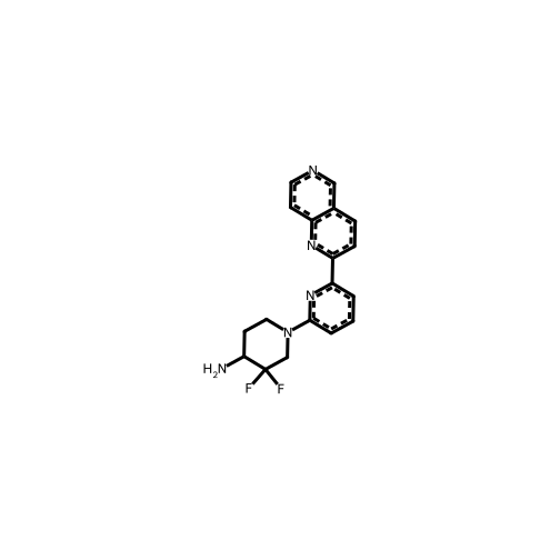 NC1CCN(c2cccc(-c3ccc4cnccc4n3)n2)CC1(F)F